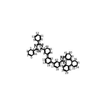 C1=CCCC(c2nc(C3=CC(c4cccc(-c5cccc(-c6nc7c8n6-c6ccccc6C6C=CCCC6C=8CCC=7)c5)c4)=CCC3)nc(C3C=CC=CC3)n2)=C1